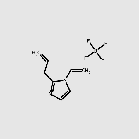 C=CCc1nccn1C=C.F[B-](F)(F)F